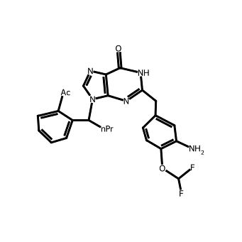 CCCC(c1ccccc1C(C)=O)n1cnc2c(=O)[nH]c(Cc3ccc(OC(F)F)c(N)c3)nc21